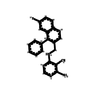 N#Cc1c(N)ncnc1NCc1cnc2ccc(F)cc2c1-c1ccccc1